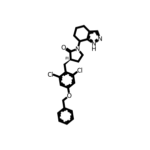 O=C1[C@H](Cc2c(Cl)cc(OCc3ccccc3)cc2Cl)CCN1C1CCCc2cn[nH]c21